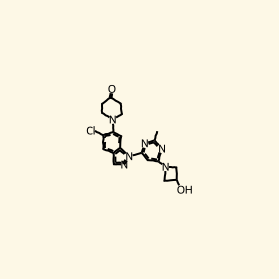 Cc1nc(N2CC(O)C2)cc(-n2ncc3cc(Cl)c(N4CCC(=O)CC4)cc32)n1